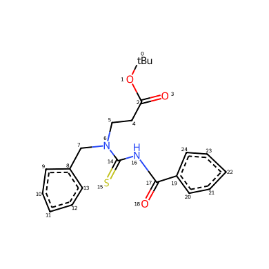 CC(C)(C)OC(=O)CCN(Cc1ccccc1)C(=S)NC(=O)c1ccccc1